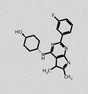 CC1=Nc2nc(-c3cccc(F)c3)nc(N[C@H]3CC[C@H](O)CC3)c2C1C